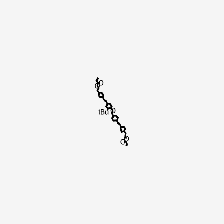 C=CC(=O)OCCc1ccc(C#Cc2ccc(COc3ccc(C#Cc4ccc(CCOC(=O)C=C)cc4)cc3C(C)(C)C)cc2)cc1